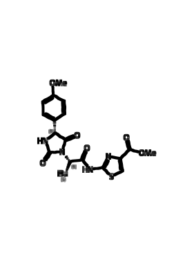 CC[C@H](C)[C@@H](C(=O)Nc1nc(C(=O)OC)cs1)N1C(=O)N[C@H](c2ccc(OC)cc2)C1=O